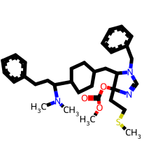 COC(=O)OC1(CCSC)N=CN(Cc2ccccc2)C1CC1CCC(C(CCc2ccccc2)N(C)C)CC1